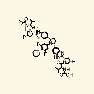 COC(=O)N[C@H](C(=O)N1C[C@@H](F)C[C@H]1c1nc2cc([C@H]3CC[C@H](c4ccc5[nH]c([C@@H]6C[C@H](F)CN6C(=O)[C@@H](NC(=O)O)C(C)C)nc5c4)N3c3cc(F)c(N4CCCCC4)c(F)c3)ccc2[nH]1)C(C)C